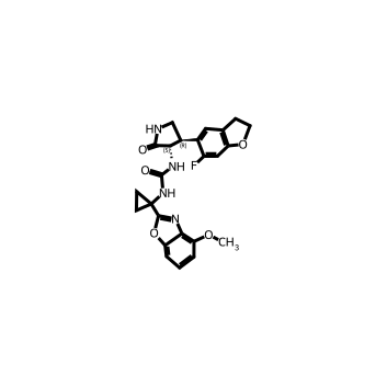 COc1cccc2oc(C3(NC(=O)N[C@@H]4C(=O)NC[C@H]4c4cc5c(cc4F)OCC5)CC3)nc12